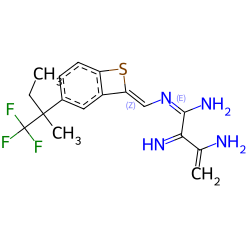 C=C(N)C(=N)/C(N)=N\C=C1/Sc2ccc(C(C)(CC)C(F)(F)F)cc21